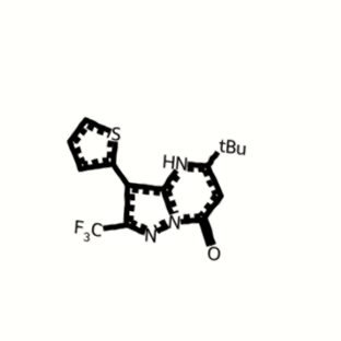 CC(C)(C)c1cc(=O)n2nc(C(F)(F)F)c(-c3cccs3)c2[nH]1